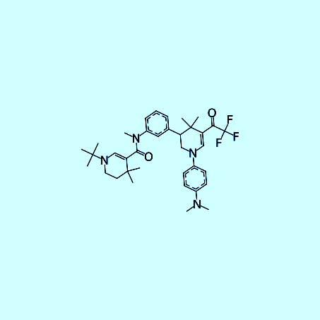 CN(C)c1ccc(N2C=C(C(=O)C(F)(F)F)C(C)(C)C(c3cccc(N(C)C(=O)C4=CN(C(C)(C)C)CCC4(C)C)c3)C2)cc1